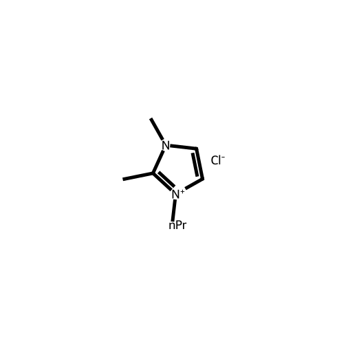 CCC[n+]1ccn(C)c1C.[Cl-]